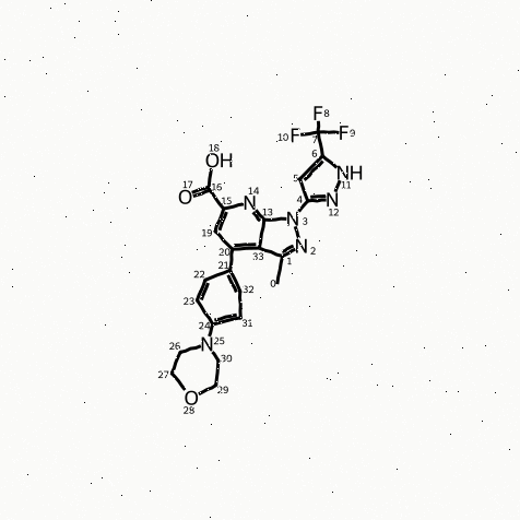 Cc1nn(-c2cc(C(F)(F)F)[nH]n2)c2nc(C(=O)O)cc(-c3ccc(N4CCOCC4)cc3)c12